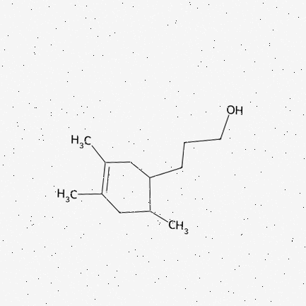 CC1=C(C)CC(CCCO)C(C)C1